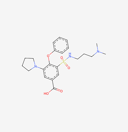 CN(C)CCCNS(=O)(=O)c1cc(C(=O)O)cc(N2CCCC2)c1Oc1ccccc1